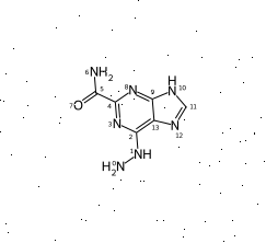 NNc1nc(C(N)=O)nc2[nH]cnc12